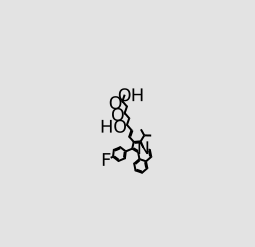 CC(C)c1c(C=CC(O)CC(=O)CC(=O)O)c(-c2ccc(F)cc2)c2c3ccccc3ccn12